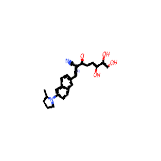 CC1CCCN1c1ccc2cc(/C=C(\C#N)C(=O)CCC(O)C(O)CO)ccc2c1